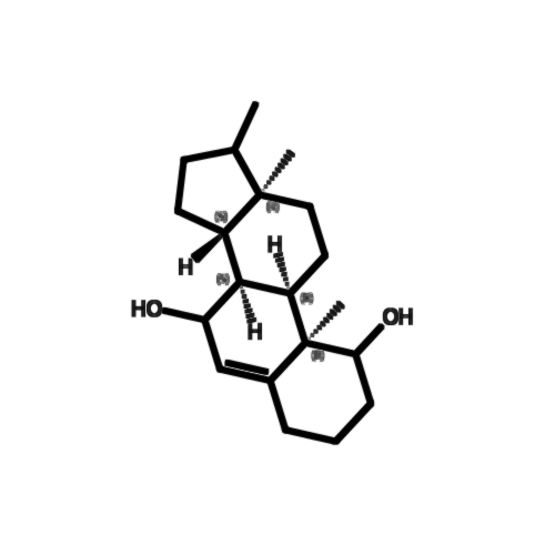 CC1CC[C@H]2[C@@H]3C(O)C=C4CCCC(O)[C@]4(C)[C@@H]3CC[C@]12C